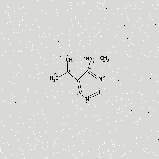 CNc1ncncc1C(C)C